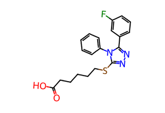 O=C(O)CCCCCSc1nnc(-c2cccc(F)c2)n1-c1ccccc1